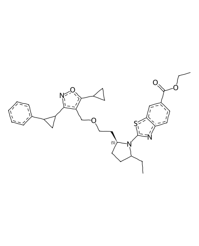 CCOC(=O)c1ccc2nc(N3C(CC)CC[C@H]3CCOCc3c(C4CC4c4ccccc4)noc3C3CC3)sc2c1